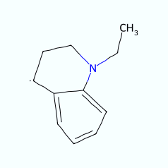 CCN1CC[CH]c2ccccc21